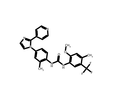 COc1cc(C)c(C(F)(F)F)cc1NC(=O)Nc1ccc(-n2ccnc2-c2ccncc2)cc1C